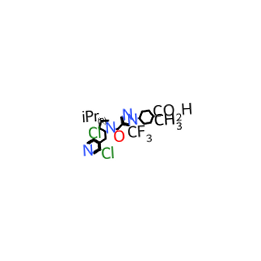 CC(C)[C@H]1CC(Cc2c(Cl)cncc2Cl)N(C(=O)c2cnn([C@H]3CC[C@](C)(C(=O)O)CC3)c2C(F)(F)F)C1